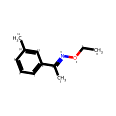 CCON=C(C)c1cccc(C)c1